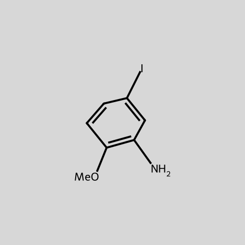 COc1ccc(I)cc1N